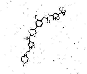 CN1CCN(CCn2cc(Nc3ncc(-c4ccc(CC(=O)Nc5cc(C6(C(F)(F)F)CC6)on5)c(F)c4)cn3)cn2)CC1